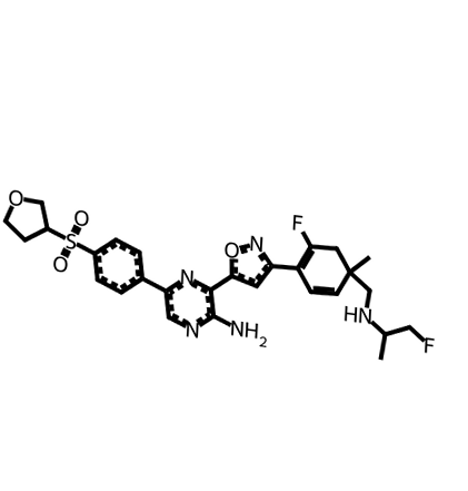 CC(CF)NCC1(C)C=CC(c2cc(-c3nc(-c4ccc(S(=O)(=O)C5CCOC5)cc4)cnc3N)on2)=C(F)C1